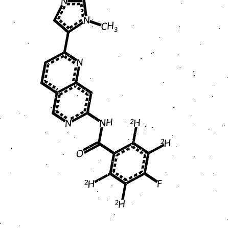 [2H]c1c([2H])c(C(=O)Nc2cc3nc(-c4cncn4C)ccc3cn2)c([2H])c([2H])c1F